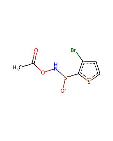 CC(=O)ON[S+]([O-])c1sccc1Br